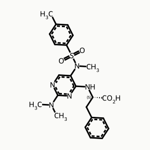 Cc1ccc(S(=O)(=O)N(C)c2cnc(N(C)C)nc2N[C@@H](Cc2ccccc2)C(=O)O)cc1